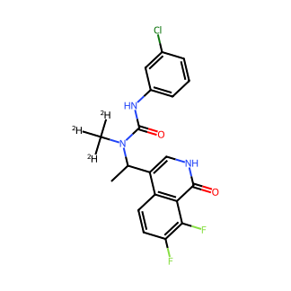 [2H]C([2H])([2H])N(C(=O)Nc1cccc(Cl)c1)C(C)c1c[nH]c(=O)c2c(F)c(F)ccc12